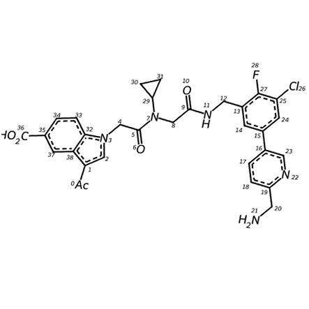 CC(=O)c1cn(CC(=O)N(CC(=O)NCc2cc(-c3ccc(CN)nc3)cc(Cl)c2F)C2CC2)c2ccc(C(=O)O)cc12